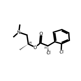 C[C@H](CN(C)C)OC(=O)[C@@H](Cl)c1ccccc1Cl